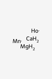 [CaH2].[Ho].[MgH2].[Mn]